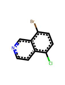 Clc1ccc(Br)c2cnccc12